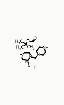 CC(C)(C)OC=O.C[C@@H]1COCCN1CN1CCNCC1